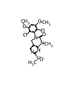 COc1cc(OC)c(Cl)c(N2Cc3cnc([S+](C)[O-])nc3N(C)C2=O)c1Cl